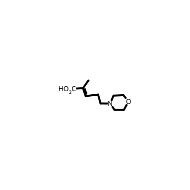 C/C(=C\CCN1CCOCC1)C(=O)O